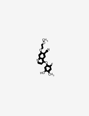 COCCOc1cc2nccc(Oc3cc(O)c(C)cc3F)c2cc1C#N